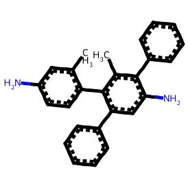 Cc1cc(N)ccc1-c1c(-c2ccccc2)cc(N)c(-c2ccccc2)c1C